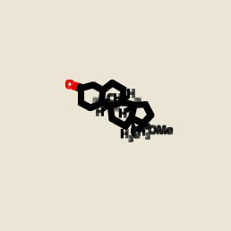 COC1(C)CC[C@H]2[C@@H]3CCC4CC(=O)CC[C@]4(C)[C@@H]3CC[C@@]21C